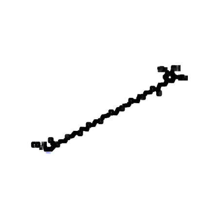 CC(C)(C)c1cc(CCC(=O)OCCOCCOCCOCCOCCOCCOCCOCCOCCOC(=O)/C=C\C(=O)O)cc(C(C)(C)C)c1O